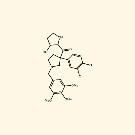 COc1cc(CN2CCC(C(=O)C3NCCC3O)(c3ccc(Cl)c(Cl)c3)C2)cc(OC)c1OC